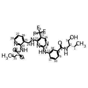 CC[C@@H](CO)NC(=O)c1cccc(Nc2ncc(C(F)(F)F)c(NCc3cccnc3NS(=O)(=O)CC)n2)c1